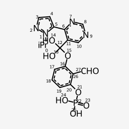 CC(C)n1nccc1-c1ncncc1C(O)(O)Oc1cccc(OP(=O)(O)O)c1C=O